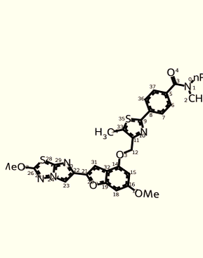 CCCN(C)C(=O)c1ccc(-c2nc(COc3cc(OC)cc4oc(-c5cn6nc(OC)sc6n5)cc34)c(C)s2)cc1